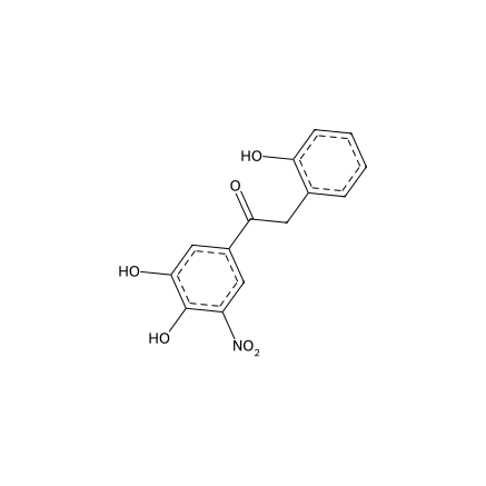 O=C(Cc1ccccc1O)c1cc(O)c(O)c([N+](=O)[O-])c1